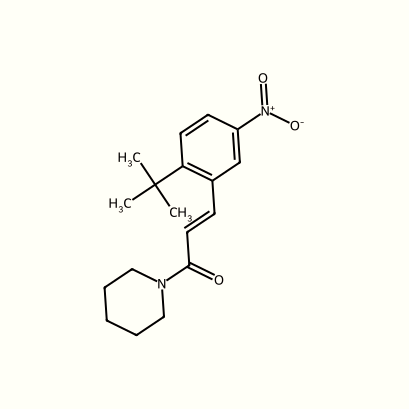 CC(C)(C)c1ccc([N+](=O)[O-])cc1C=CC(=O)N1CCCCC1